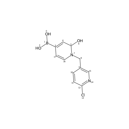 OB(O)C1=CC(O)N(Cc2ccc(Cl)nc2)C=C1